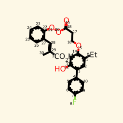 CCc1cc(-c2ccc(F)cc2)c(O)cc1OCCC(=O)OOc1ccccc1/C=C(\C)C(=O)O